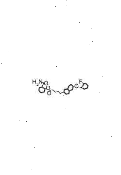 NC(=O)c1ccccc1OC(=O)CCCCc1ccc2cc(OCc3ccccc3F)ccc2c1